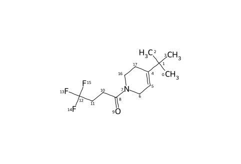 CC(C)(C)C1=CCN(C(=O)CCC(F)(F)F)CC1